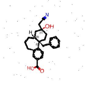 N#CC[C@]1(O)CC[C@]2(Cc3ccccc3)c3ccc(C(=O)O)cc3CCC[C@@H]2C1